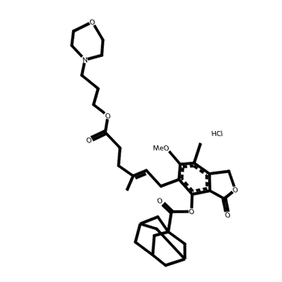 COc1c(C)c2c(c(OC(=O)C34CC5CC(CC(C5)C3)C4)c1C/C=C(\C)CCC(=O)OCCCN1CCOCC1)C(=O)OC2.Cl